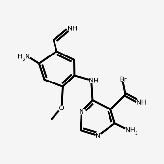 COc1cc(N)c(C=N)cc1Nc1ncnc(N)c1C(=N)Br